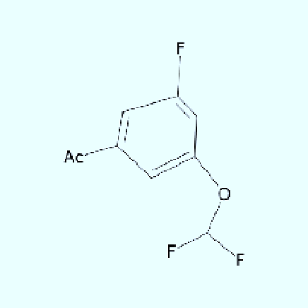 CC(=O)c1cc(F)cc(OC(F)F)c1